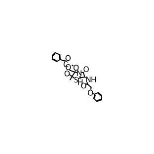 CO[C@@]1(C(=O)OCC(=O)c2ccccc2)N2C(=O)[C@H](NC(=O)COc3ccccc3)[C@H]2SC1(C)C